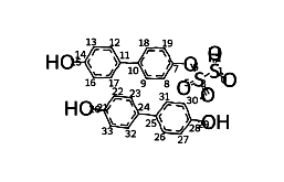 O=[SH](=O)S(=O)(=O)Oc1ccc(-c2ccc(O)cc2)cc1.Oc1ccc(-c2ccc(O)cc2)cc1